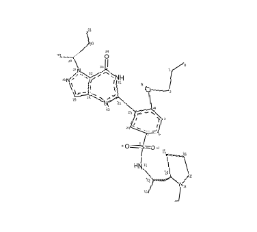 CCCOc1ccc(S(=O)(=O)NC(C)C2CCCN2C)cc1-c1nc2cnn(C(C)CC)c2c(=O)[nH]1